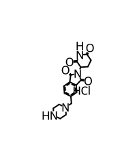 Cl.O=C1CCC(N2C(=O)c3ccc(CN4CCNCC4)cc3C2=O)C(=O)N1